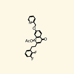 CC(=O)On1c(CCc2cccc(F)c2F)cc(=O)c2ccc(OCc3ccccn3)cc21